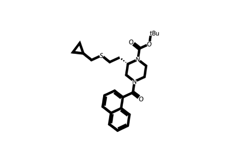 CC(C)(C)OC(=O)N1CCN(C(=O)c2cccc3ccccc23)C[C@@H]1CCSCC1CC1